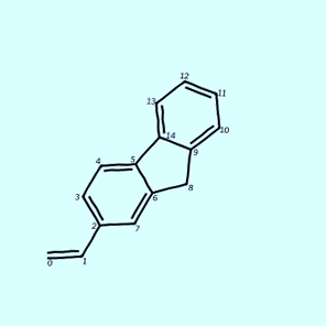 C=Cc1ccc2c(c1)Cc1ccccc1-2